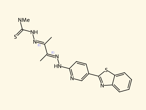 CNC(=S)N/N=C(C)/C(C)=N/Nc1ccc(-c2nc3ccccc3s2)cn1